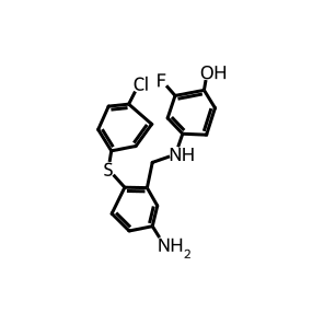 Nc1ccc(Sc2ccc(Cl)cc2)c(CNc2ccc(O)c(F)c2)c1